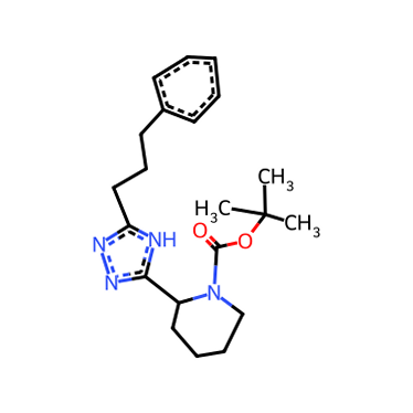 CC(C)(C)OC(=O)N1CCCCC1c1nnc(CCCc2ccccc2)[nH]1